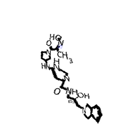 C/C(=N/O)C(=O)N1CCC(NC2=CC(C(=O)NC[C@H](O)CN3CCc4ccccc4C3)=NCN2)C1